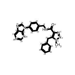 Cn1nnc(C(=O)NCc2ccc(-n3cnc4cncnc43)cc2)c1Cc1ccccc1